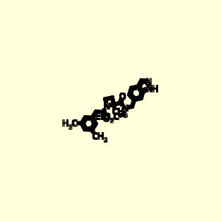 CCOC(=O)CN(Cc1ccc2cn[nH]c2c1)C(=O)C1(C)CCN1C(=O)Cc1cc(C)cc(C)c1